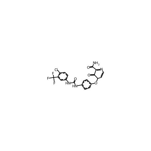 NC(=O)C1=NC=CC(Oc2ccc(NC(=O)Nc3ccc(Cl)c(C(F)(F)F)c3)cc2)C1=O